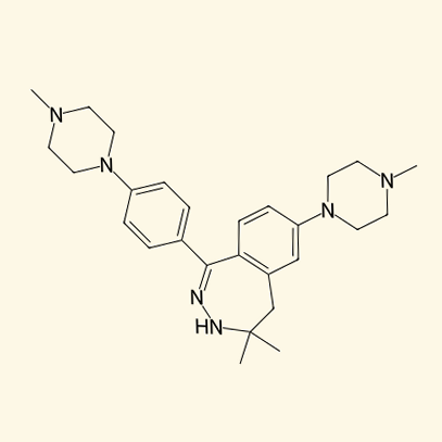 CN1CCN(c2ccc(C3=NNC(C)(C)Cc4cc(N5CCN(C)CC5)ccc43)cc2)CC1